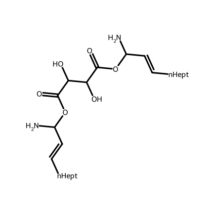 CCCCCCCC=CC(N)OC(=O)C(O)C(O)C(=O)OC(N)C=CCCCCCCC